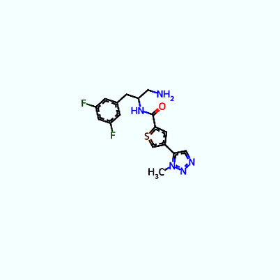 Cn1nncc1-c1csc(C(=O)NC(CN)Cc2cc(F)cc(F)c2)c1